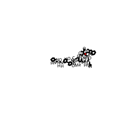 CC[C@@]1(OC(=O)[C@@H](NC(=O)[C@H](Cc2cnc[nH]2)NC(=S)Nc2ccc(CC(NS(=O)(=O)c3cc(-c4cccc(NC(=O)Nc5nc6ccccc6[nH]5)c4)ccc3OC)C(=O)O)cc2)C(C)C)C(=O)OCc2c1cc1n(c2=O)Cc2cc3ccccc3nc2-1